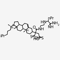 CCCC(NCCNC(=O)C(CC(O)=S)(C(O)=S)C1CC[C@@]2(C)C(=CCC3C2CC[C@@]2(C)C3CC[C@@H]2[C@H](C)CCCC(C)C)C1)C(=N)N